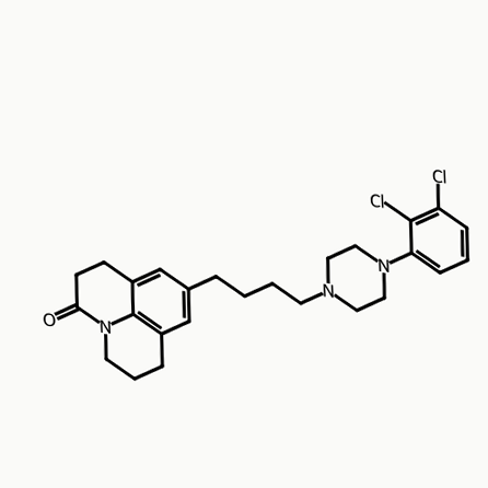 O=C1CCc2cc(CCCCN3CCN(c4cccc(Cl)c4Cl)CC3)cc3c2N1CCC3